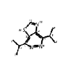 CC(C)c1nnc(C(C)C)c2scnc12